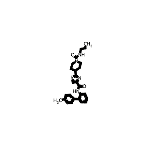 CCCNC(=O)N1CCC(c2nc(C(=O)Nc3ccccc3-c3ccc(C)cc3)cs2)CC1